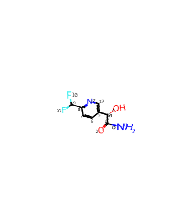 NC(=O)[C@@H](O)c1ccc(C(F)F)nc1